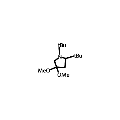 COC1(OC)CC(C(C)(C)C)N(C(C)(C)C)C1